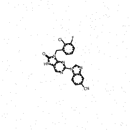 N#Cc1ccc2c(c1)ncn2-c1ncc2[nH]c(=O)n(Cc3cccc(F)c3Cl)c2n1